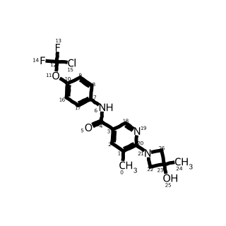 Cc1cc(C(=O)Nc2ccc(OC(F)(F)Cl)cc2)cnc1N1CC(C)(O)C1